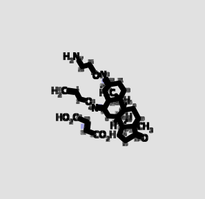 C=CCO/N=C1/C[C@@H]2[C@H](CC[C@]3(C)C(=O)CC[C@@H]23)[C@@]2(C)CC/C(=N/OCCN)CC12.O=C(O)/C=C/C(=O)O